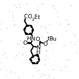 CCOC(=O)Cc1ccc(NC(=O)C(Cc2ccccc2)NC(=O)OC(C)(C)C)cc1